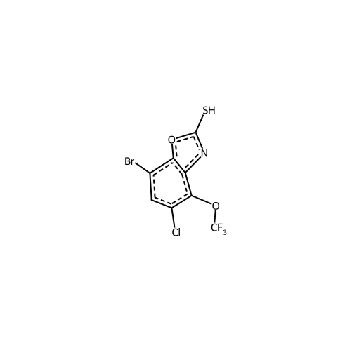 FC(F)(F)Oc1c(Cl)cc(Br)c2oc(S)nc12